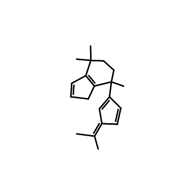 CC(C)=C1C=CC(C2(C)CCC(C)(C)C3=C2CC=C3)=C1